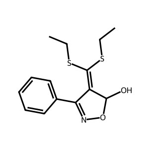 CCSC(SCC)=C1C(c2ccccc2)=NOC1O